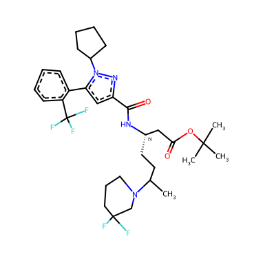 CC(CC[C@@H](CC(=O)OC(C)(C)C)NC(=O)c1cc(-c2ccccc2C(F)(F)F)n(C2CCCC2)n1)N1CCCC(F)(F)C1